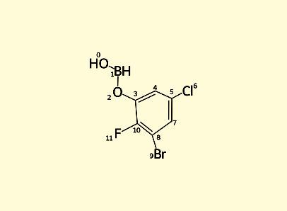 OBOc1cc(Cl)cc(Br)c1F